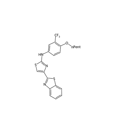 CCCCCOc1ccc(Nc2nc(-c3nc4ccccc4s3)cs2)cc1C(F)(F)F